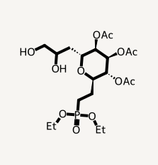 CCOP(=O)(CC[C@H]1O[C@H](CC(O)CO)[C@@H](OC(C)=O)[C@@H](OC(C)=O)[C@@H]1OC(C)=O)OCC